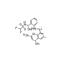 Cc1cc2c(c([C@@H](C)Nc3ccccc3C(O)NS(=O)(=O)C(F)F)c1)OC(N)=CC2O